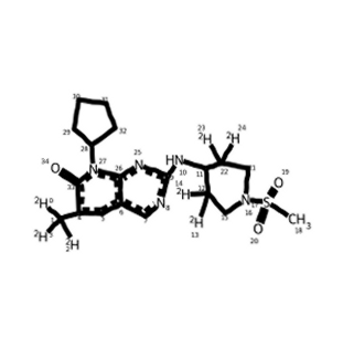 [2H]C([2H])([2H])c1cc2cnc(NC3C([2H])([2H])CN(S(C)(=O)=O)CC3([2H])[2H])nc2n(C2CCCC2)c1=O